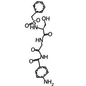 Nc1ccc(C(=O)NC(=O)CNC(=O)[C@H](CO)NS(=O)(=O)Cc2ccccc2)cc1